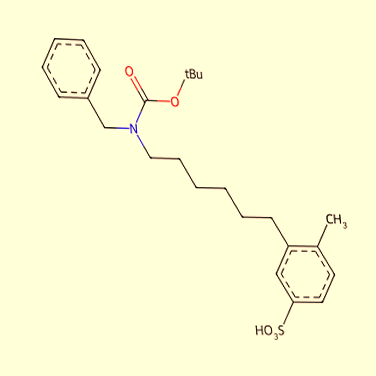 Cc1ccc(S(=O)(=O)O)cc1CCCCCCN(Cc1ccccc1)C(=O)OC(C)(C)C